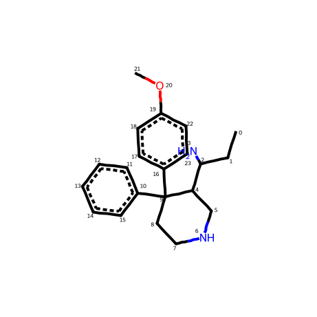 CCC(N)C1CNCCC1(c1ccccc1)c1ccc(OC)cc1